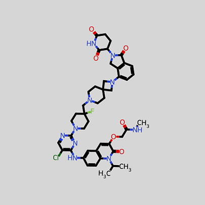 CNC(=O)COc1cc2cc(Nc3nc(N4CCC(F)(CN5CCC6(CC5)CN(c5cccc7c5CN(C5CCC(=O)NC5=O)C7=O)C6)CC4)ncc3Cl)ccc2n(C(C)C)c1=O